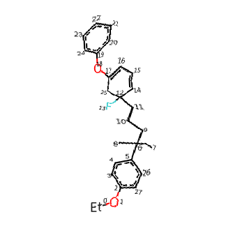 CCOc1ccc(C(C)(C)CCCC2(F)C=CC=C(Oc3ccccc3)C2)cc1